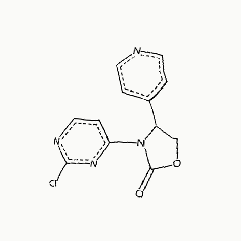 O=C1OCC(c2ccncc2)N1c1ccnc(Cl)n1